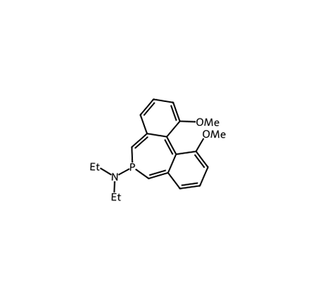 CCN(CC)P1C=c2cccc(OC)c2=c2c(OC)cccc2=C1